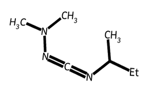 CCC(C)N=C=NN(C)C